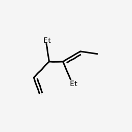 [CH]=CC(CC)C(=CC)CC